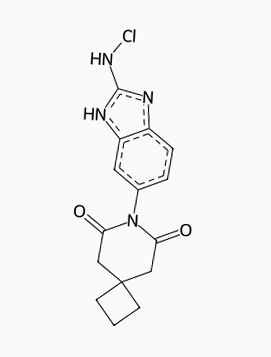 O=C1CC2(CCC2)CC(=O)N1c1ccc2nc(NCl)[nH]c2c1